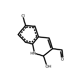 O=CC1=Cc2cc(Cl)ccc2NC1O